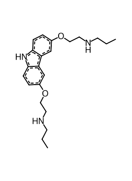 CCCNCCOc1ccc2[nH]c3ccc(OCCNCCC)cc3c2c1